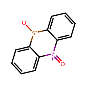 O=[PH]1c2ccccc2[S+]([O-])c2ccccc21